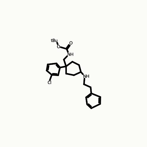 CC(C)(C)OC(=O)NCC1(c2cccc(Cl)c2)CCC(NCCc2ccccc2)CC1